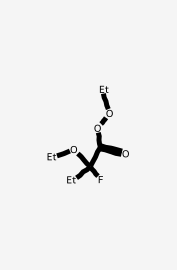 CCOOC(=O)C(F)(CC)OCC